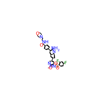 COc1ncc(-c2ccc3nc(N)c(-c4ccc(C(=O)NCCN5CCOCC5)cc4)cc3c2)cc1NS(=O)(=O)c1ccc(F)cc1F